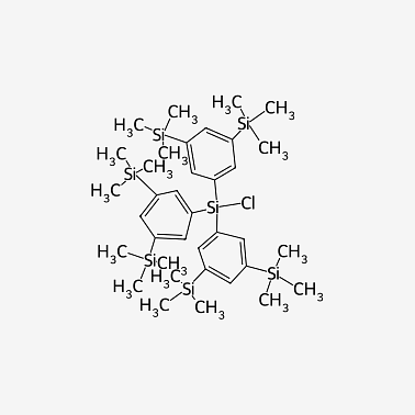 C[Si](C)(C)c1cc([Si](C)(C)C)cc([Si](Cl)(c2cc([Si](C)(C)C)cc([Si](C)(C)C)c2)c2cc([Si](C)(C)C)cc([Si](C)(C)C)c2)c1